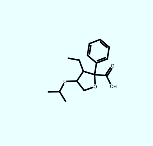 CCC1C(OC(C)C)COC1(C(=O)O)c1ccccc1